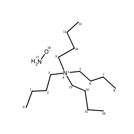 CCCC[N+](CCCC)(CCCC)CCCC.N[O-]